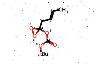 CC=CCC1(OC(=O)OC(C)(C)C)OO1